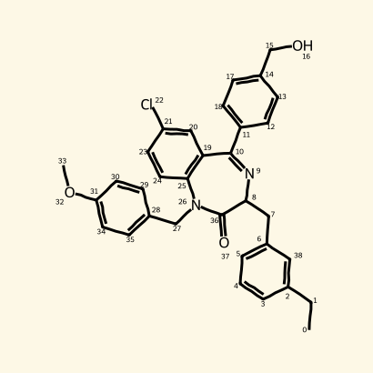 CCc1cccc(CC2N=C(c3ccc(CO)cc3)c3cc(Cl)ccc3N(Cc3ccc(OC)cc3)C2=O)c1